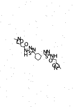 Cc1cc(CC(=O)Nc2nnc([C@@H]3CCC[C@@H](c4nnc(NC(=O)Cc5cc(C)no5)s4)C3)s2)on1